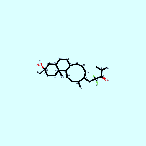 CC(C)C(=O)C(F)(F)CC1CCCC2CCC3C[C@@](C)(O)CCC3(C)C2CCC1C